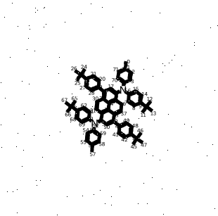 Cc1ccc(N(c2ccc(C(C)(C)C)cc2)c2cc(-c3ccc(C(C)(C)C)cc3)c3ccc4c5c3c2CC=C5C(c2ccc(C(C)(C)C)cc2)=CC4N(c2ccc(C)cc2)c2ccc(C(C)(C)C)cc2)cc1